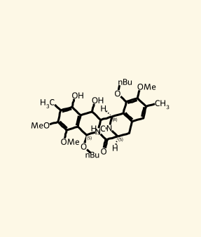 CCCCOc1c(OC)c(C)cc2c1[C@@H]1C3C(O)c4c(O)c(C)c(OC)c(OC)c4[C@H](OCCCC)N3C(=O)[C@H](C2)N1C